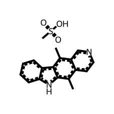 CS(=O)(=O)O.Cc1c2ccncc2c(C)c2c1[nH]c1ccccc12